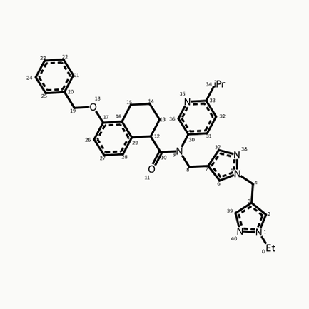 CCn1cc(Cn2cc(CN(C(=O)C3CCCc4c(OCc5ccccc5)cccc43)c3ccc(C(C)C)nc3)cn2)cn1